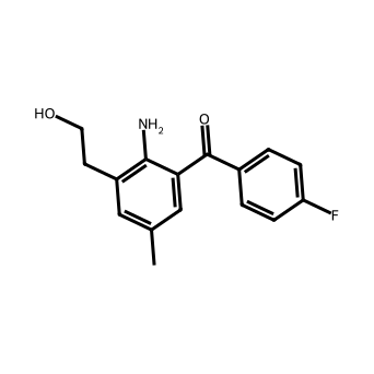 Cc1cc(CCO)c(N)c(C(=O)c2ccc(F)cc2)c1